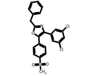 CS(=O)(=O)c1ccc(-c2oc(Cc3ccccc3)nc2-c2cc(Cl)cc(Cl)c2)cc1